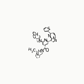 CCN1CCCC1CNC(=O)c1cc(-c2cnn3ccc(-c4cccs4)nc23)nc(N2CC(OC)C2)c1